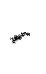 Cc1cc(OCC2(C)COC2)ccc1/C=C/S(=O)(=O)N1CCC2(CC1)N=C(C1CCCCC1)NC2=O